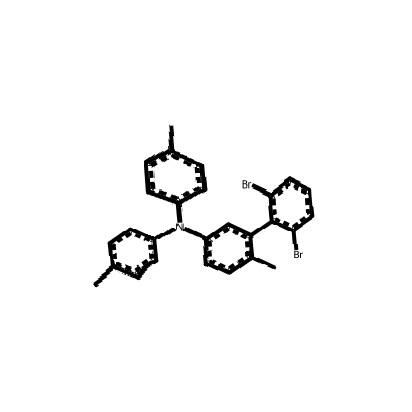 Cc1ccc(N(c2ccc(C)cc2)c2ccc(C)c(-c3c(Br)cccc3Br)c2)cc1